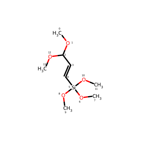 COC(C=C[Si](OC)(OC)OC)OC